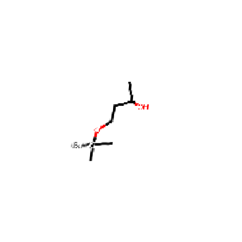 C[C](O)CCO[Si](C)(C)C(C)(C)C